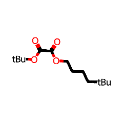 CC(C)(C)CCCCOC(=O)C(=O)OC(C)(C)C